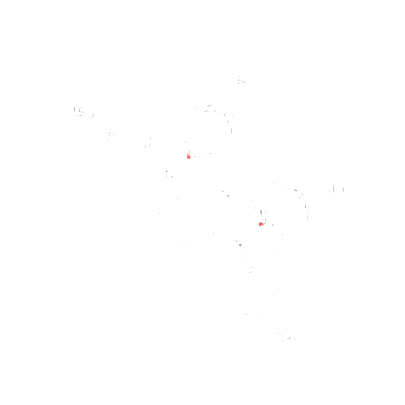 CC(C)(C)c1ccc2c(c1)c1cc(C(C)(C)C)ccc1n2-c1cccc(-n2c3ccc(C(C)(C)C)cc3c3cc(C(C)(C)C)ccc32)c1N(c1ccccc1)c1ccccc1